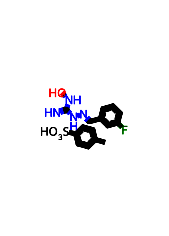 Cc1ccc(S(=O)(=O)O)cc1.N=C(NO)NN=Cc1cccc(F)c1